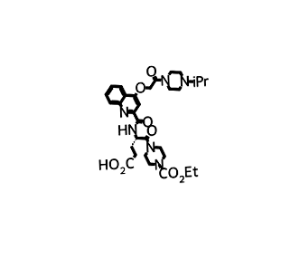 CCOC(=O)N1CCN(C(=O)[C@H](CCC(=O)O)NC(=O)c2cc(OCC(=O)N3CCN(C(C)C)CC3)c3ccccc3n2)CC1